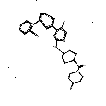 O=C(C1CCC(Nc2ncc(F)c(-c3cccc(-n4ccccc4=O)c3)n2)CC1)N1CCC(F)CC1